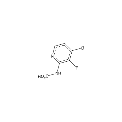 O=C(O)Nc1nccc(Cl)c1F